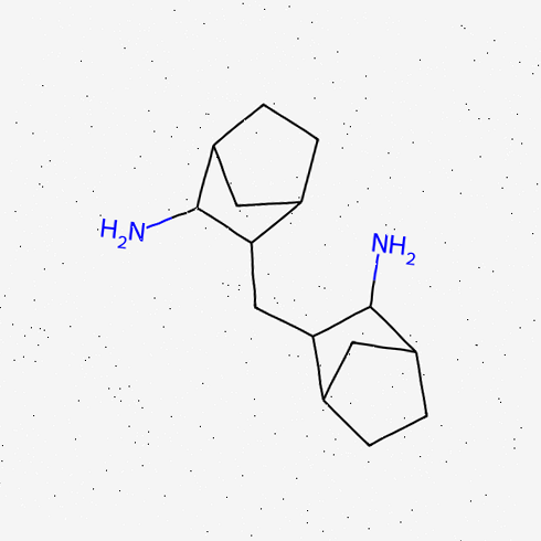 NC1C2CCC(C2)C1CC1C2CCC(C2)C1N